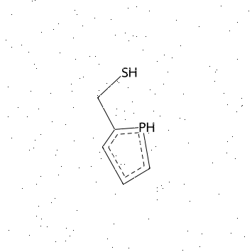 SCc1ccc[pH]1